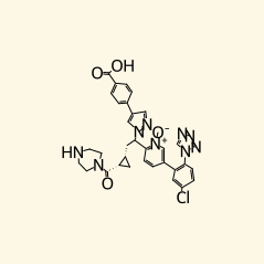 O=C(O)c1ccc(-c2cnn(C(C[C@@H]3C[C@@H]3C(=O)N3CCNCC3)c3ccc(-c4cc(Cl)ccc4-n4cnnn4)c[n+]3[O-])c2)cc1